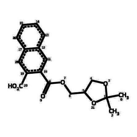 CC1(C)OCC(COC(=O)c2cc3ccccc3cc2C(=O)O)O1